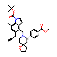 C#CCc1cc(C)c2c(ccn2C(=O)OC(C)(C)C)c1CN1CCC2(CCCO2)C[C@H]1c1ccc(C(=O)OC)cc1